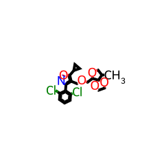 CC1COC(COCc2c(-c3c(Cl)cccc3Cl)noc2C2CC2)C12OCCO2